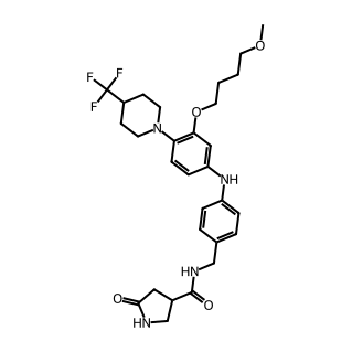 COCCCCOc1cc(Nc2ccc(CNC(=O)C3CNC(=O)C3)cc2)ccc1N1CCC(C(F)(F)F)CC1